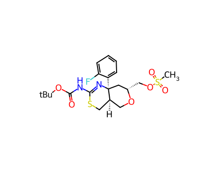 CC(C)(C)OC(=O)NC1=N[C@@]2(c3ccccc3F)C[C@H](COS(C)(=O)=O)OC[C@H]2CS1